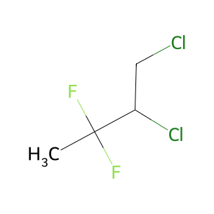 CC(F)(F)C(Cl)CCl